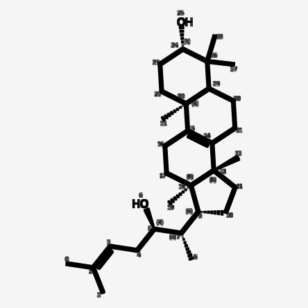 CC(C)=CC[C@@H](O)[C@@H](C)[C@H]1CC[C@@]2(C)C3=C(CC[C@]12C)[C@@]1(C)CC[C@H](O)C(C)(C)C1CC3